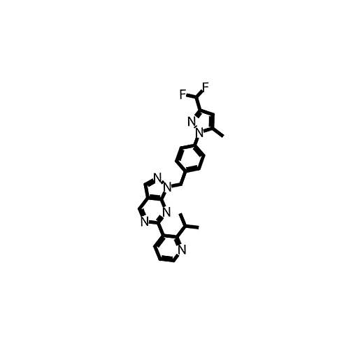 Cc1cc(C(F)F)nn1-c1ccc(Cn2ncc3cnc(-c4cccnc4C(C)C)nc32)cc1